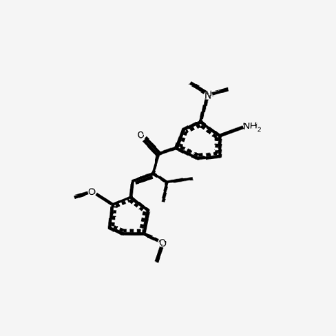 COc1ccc(OC)c(/C=C(/C(=O)c2ccc(N)c(N(C)C)c2)C(C)C)c1